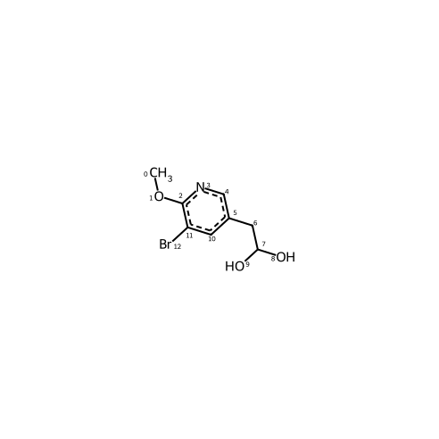 COc1ncc(CC(O)O)cc1Br